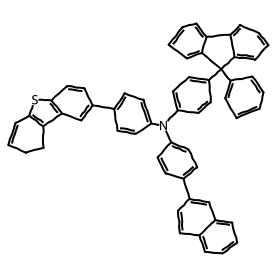 C1=Cc2sc3ccc(-c4ccc(N(c5ccc(-c6ccc7ccccc7c6)cc5)c5ccc(C6(c7ccccc7)c7ccccc7-c7ccccc76)cc5)cc4)cc3c2CC1